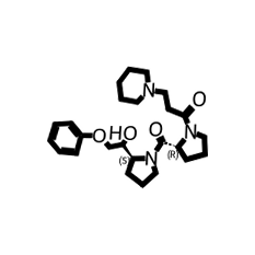 O=C(CCN1CCCCC1)N1CCC[C@@H]1C(=O)N1CCC[C@H]1C(O)COc1ccccc1